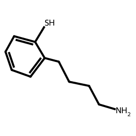 NCCCCc1ccccc1S